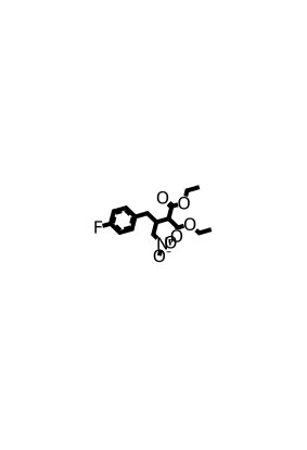 CCOC(=O)C(C(=O)OCC)C(Cc1ccc(F)cc1)C[N+](=O)[O-]